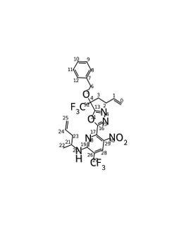 C=CCCC(OCc1ccccc1)(c1nnc(-c2nc(NC(C)CC=C)c(C(F)(F)F)cc2[N+](=O)[O-])o1)C(F)(F)F